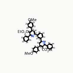 CCOC(=O)c1c(-c2ccc(OC)cc2)cc(-c2cccc(-c3cc(-c4ccc(OC)cc4)c(C(=O)OCC)c(-c4ccccc4)n3)c2)nc1-c1ccccc1